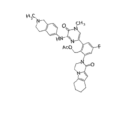 CC(=O)OCc1c(-c2cn(C)c(=O)c(Nc3ccc4c(c3)CCN(C)C4)n2)cc(F)cc1N1CCn2c(cc3c2CCCC3)C1=O